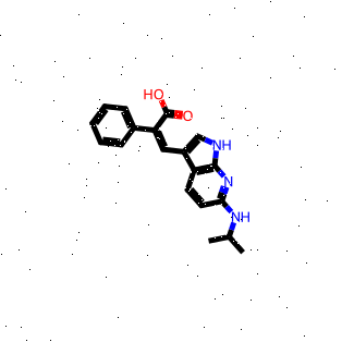 CC(C)Nc1ccc2c(C=C(C(=O)O)c3ccccc3)c[nH]c2n1